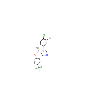 C[C@@H](Oc1ccc(C(F)(F)F)cc1)C1CNC[C@H]1c1ccc(Cl)c(Cl)c1